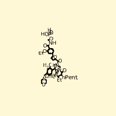 CCCCCC(C(=O)NCNC(=O)c1ccc(-c2ccc(C(=O)NCO[PH](=O)O)c(OCC)c2)o1)C(CC)N(C=O)OC(=O)c1ccc(CN2CCOCC2)cc1C